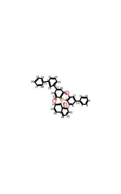 O=P12c3ccc(-c4ccccc4)cc3Oc3cc(-c4cccc(-c5ccccc5)c4)cc(c31)Oc1ccc3ccccc3c12